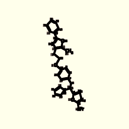 CCCc1nnc([C@H](Cc2ccc(OCCc3nc(-c4ccccc4)oc3C)cc2)n2cccc2)o1